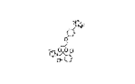 Clc1cccc(Cl)c1C1(Cn2ccnc2)OCC(COc2ccc(-c3ncc[nH]3)cc2)O1